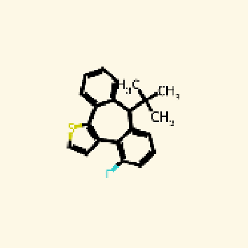 CC(C)(C)C1c2ccccc2-c2sccc2-c2c(F)cccc21